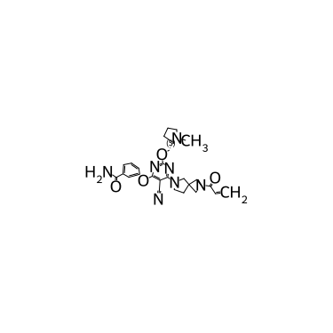 C=CC(=O)N1CC2(CCN(c3nc(OC[C@@H]4CCCN4C)nc(Oc4cccc(C(N)=O)c4)c3C#N)C2)C1